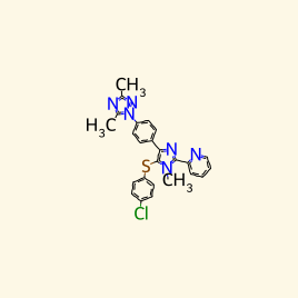 Cc1nc(C)n(-c2ccc(-c3nc(-c4ccccn4)n(C)c3Sc3ccc(Cl)cc3)cc2)n1